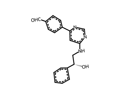 O=Cc1ccc(-c2cc(NC[C@H](O)c3ccccc3)ncn2)cc1